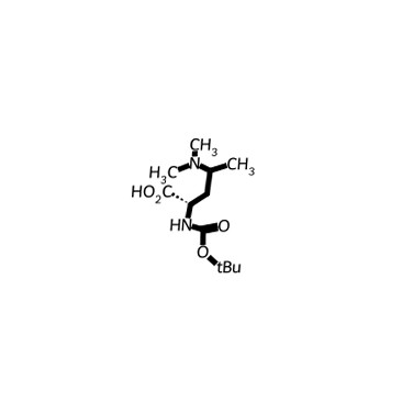 CC(C[C@H](NC(=O)OC(C)(C)C)C(=O)O)N(C)C